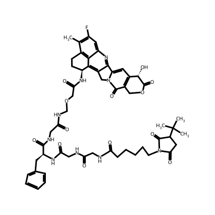 Cc1c(F)cc2nc3c(c4c2c1CC[C@@H]4NC(=O)COCNC(=O)CNC(=O)[C@H](Cc1ccccc1)NC(=O)CNC(=O)CNC(=O)CCCCCN1C(=O)CC(C(C)(C)C)C1=O)Cn1c-3cc2c(c1=O)COC(=O)[C@H]2O